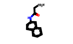 O=C(O)CC(=O)Nc1ccc2ccccc2c1